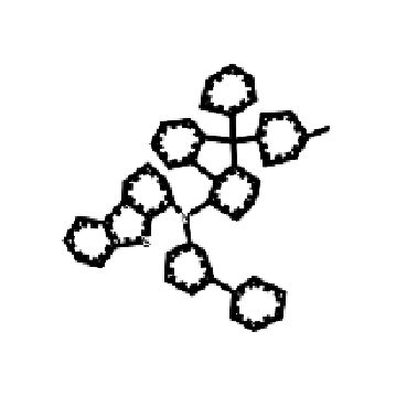 Cc1ccc(C2(c3ccccc3)c3ccccc3-c3c(N(c4cccc(-c5ccccc5)c4)c4cccc5c4sc4ccccc45)cccc32)cc1